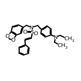 CCN(CC)c1ccc(CN(Cc2ccc3c(c2)OCO3)S(=O)(=O)C=Cc2ccccc2)cc1